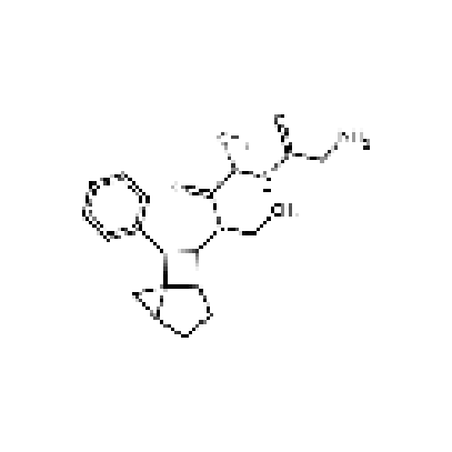 CCN(C(=O)[C@H](C)NC(=O)CN)C1C2CCC3CC32C1c1ccccc1